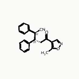 Cc1oncc1C(=O)C[C@H](c1ccccc1)[C@H](C#N)c1ccccc1